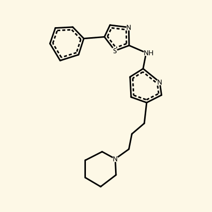 c1ccc(-c2cnc(Nc3ccc(CCCN4CCCCC4)cn3)s2)cc1